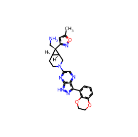 Cc1cc([C@@]2(CN)[C@@H]3CCN(c4cnc5c(-c6cccc7c6OCCO7)n[nH]c5n4)C[C@@H]32)no1